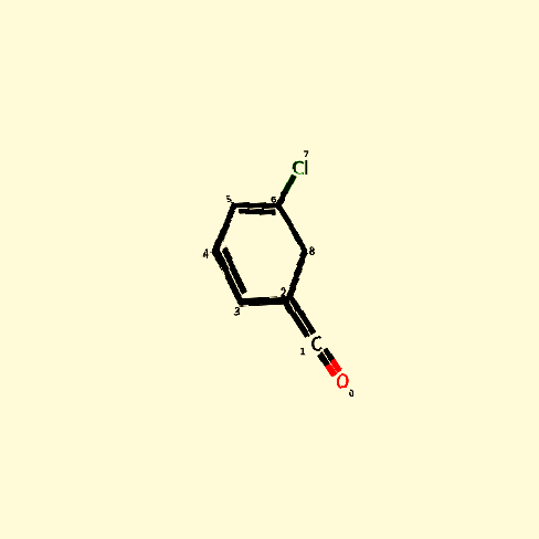 O=C=C1C=CC=C(Cl)C1